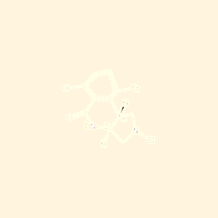 CCc1ccc(Cl)c2c1[C@@H]1CN(Cl)C[C@H]1NC2=O